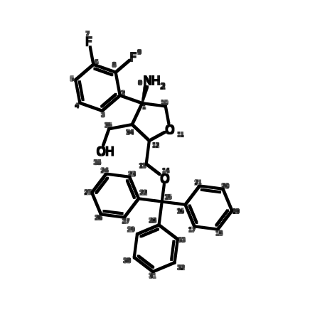 N[C@@]1(c2cccc(F)c2F)COC(COC(c2ccccc2)(c2ccccc2)c2ccccc2)C1CO